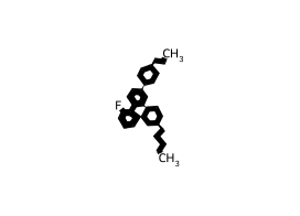 CCCCC[C@H]1CC[C@H](c2cc([C@H]3CC[C@H](CCC)CC3)ccc2-c2ccccc2F)CC1